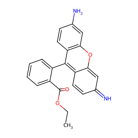 CCOC(=O)c1ccccc1-c1c2ccc(=N)cc-2oc2cc(N)ccc12